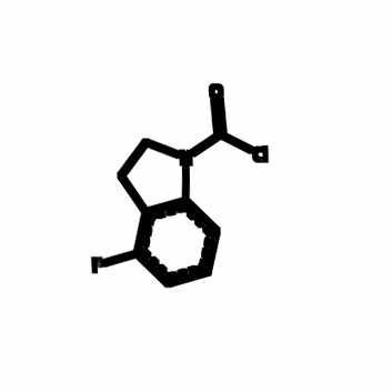 O=C(Cl)N1CCc2c(F)cccc21